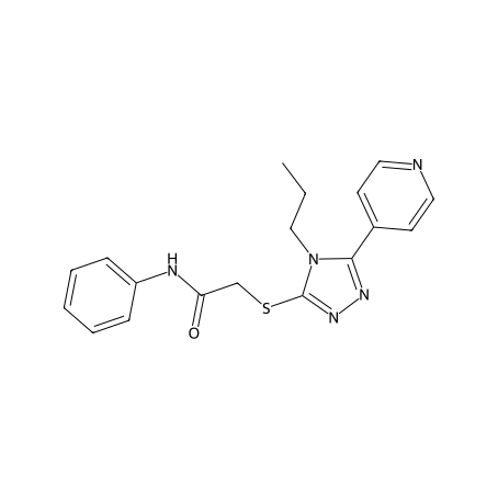 CCCn1c(SCC(=O)Nc2ccccc2)nnc1-c1ccncc1